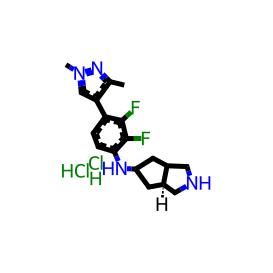 Cc1nn(C)cc1-c1ccc(NC2CC3CNC[C@H]3C2)c(F)c1F.Cl.Cl